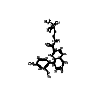 CS(=O)(=O)CCNC(=O)c1ccc2cncc(-c3ccc(Cl)cc3F)c2n1